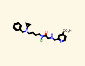 O=C(O)c1ccnc(CNCC(=O)N(Cl)CCCCN(Cc2ccccc2)C2CC2)c1